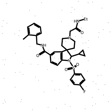 CCNC(=O)CN1CCC2(CC1)c1cc(C(=O)NCc3ccccc3C)ccc1N(S(=O)(=O)c1ccc(F)cc1)C2C1CC1